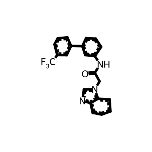 O=C(Cn1cnc2ccccc21)Nc1cccc(-c2cccc(C(F)(F)F)c2)c1